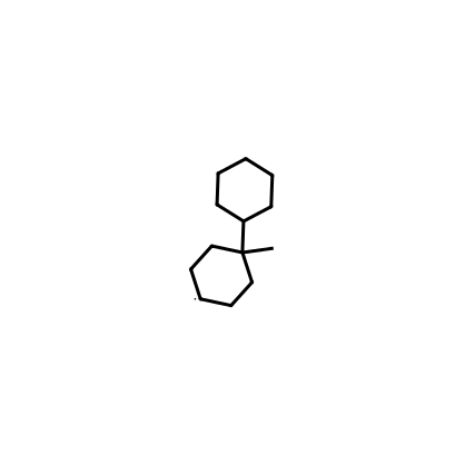 CC1(C2CCCCC2)CC[CH]CC1